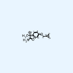 CC(Br)(C(N)=O)c1ccc(OCC2CC2)cn1